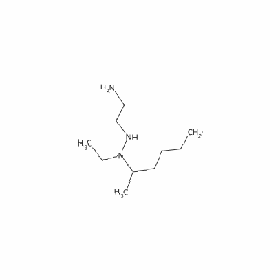 [CH2]CCCC(C)N(CC)NCCN